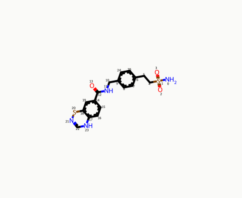 NS(=O)(=O)CCc1ccc(CNC(=O)c2ccc3c(c2)SN=CN3)cc1